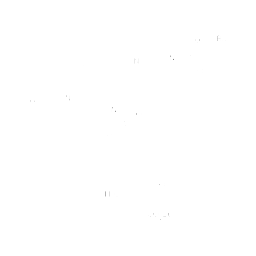 CCOC(=O)c1oc2ccc(S(=O)(=O)N(CCN3CCOCC3)Cc3ccccc3N3CCN(C(=O)OC(C)(C)C)CC3)cc2c1C